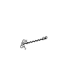 CCN(CC)CCCCCCCCCCCCCCCOC=O